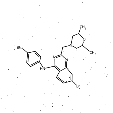 CC1CN(Cc2nc(Nc3ccc(C(C)(C)C)cc3)c3ccc(Br)cc3n2)CC(C)O1